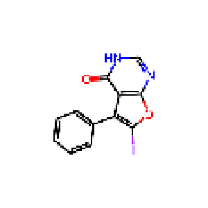 O=c1[nH]cnc2oc(I)c(-c3ccccc3)c12